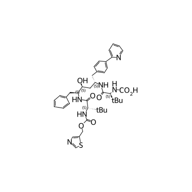 CC(C)(C)[C@H](NC(=O)O)C(=O)N[C@@H](Cc1ccc(-c2ccccn2)cc1)C[C@H](O)[C@H](Cc1ccccc1)NC(=O)[C@@H](NC(=O)OCc1cncs1)C(C)(C)C